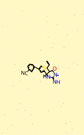 C=CCC1C(=O)N(C)C(=N)N[C@]1(C)c1cc(-c2cccc(C#N)c2)cs1